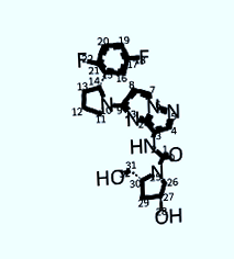 O=C(Nc1cnn2ccc(N3CCC[C@@H]3c3cc(F)ccc3F)nc12)N1C[C@@H](O)C[C@@H]1CO